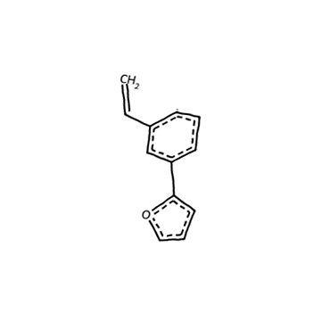 C=Cc1[c]ccc(-c2ccco2)c1